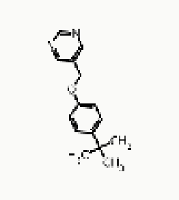 CC(C)(C)c1ccc(OCc2cncnc2)cc1